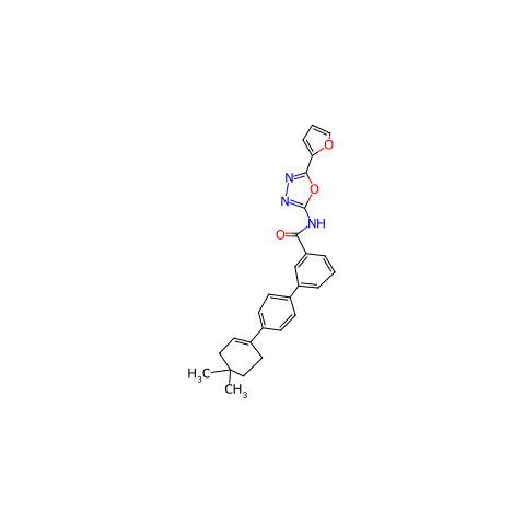 CC1(C)CC=C(c2ccc(-c3cccc(C(=O)Nc4nnc(-c5ccco5)o4)c3)cc2)CC1